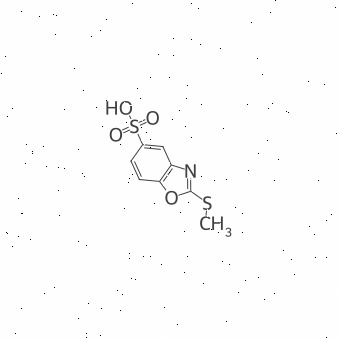 CSc1nc2cc(S(=O)(=O)O)ccc2o1